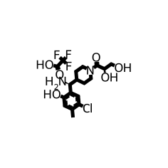 Cc1cc(O)c([C@H](N)C2CCN(C(=O)[C@H](O)CO)CC2)cc1Cl.O=C(O)C(F)(F)F